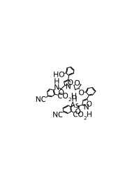 N#Cc1ccc(NC(=O)c2cc(-c3ccccc3O)on2)c(C(=O)O)c1.N#Cc1ccc([AsH]C(=O)c2cc(-c3ccccc3OC3CCOC3)on2)c(C(=O)O)c1